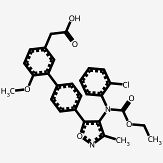 CCOC(=O)N(c1ccccc1Cl)c1c(C)noc1-c1ccc(-c2cc(CC(=O)O)ccc2OC)cc1